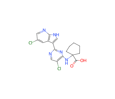 O=C(O)C1(Nc2nc(-c3c[nH]c4ncc(Cl)cc34)ncc2Cl)CCCCC1